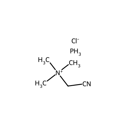 C[N+](C)(C)CC#N.P.[Cl-]